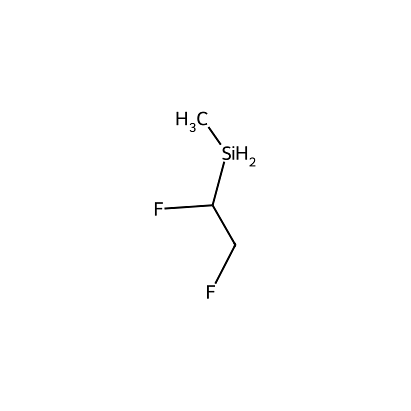 C[SiH2]C(F)CF